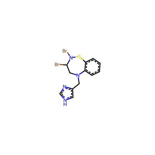 BrC1CN(Cc2c[nH]cn2)c2ccccc2SN1Br